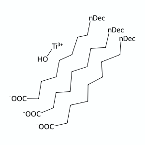 CCCCCCCCCCCCCCCCCC(=O)[O-].CCCCCCCCCCCCCCCCCC(=O)[O-].CCCCCCCCCCCCCCCCCC(=O)[O-].[OH][Ti+3]